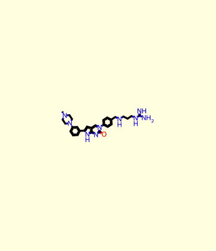 CN1CCN(c2cccc(-c3cc4cn(-c5ccc(CNCCCNC(=N)N)cc5)c(=O)nc4[nH]3)c2)CC1